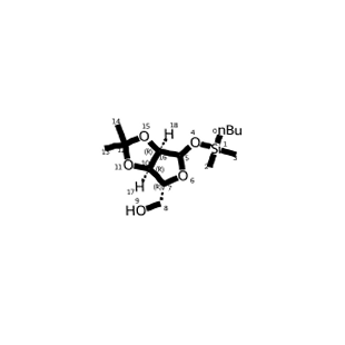 CCCC[Si](C)(C)OC1O[C@H](CO)[C@H]2OC(C)(C)O[C@@H]12